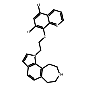 Clc1cc(Cl)c2cccnc2c1OCCn1ccc2ccc3c(c21)CCNCC3